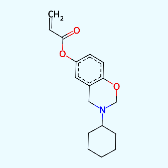 C=CC(=O)Oc1ccc2c(c1)CN(C1CCCCC1)CO2